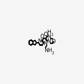 NCCn1c(N2CCOCC2)c(C(N)=O)c(=O)c2nc(C3Cc4ccccc4C3)ccc21